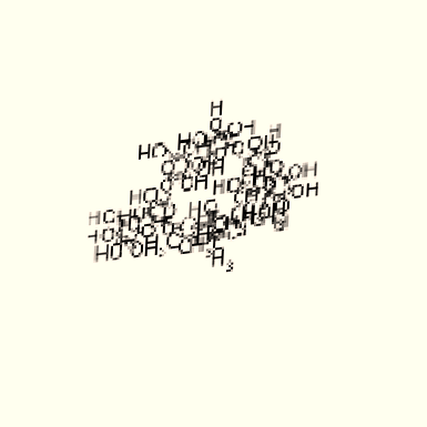 C[C@H](CC[C@@H](O[C@@H]1O[C@H](CO[C@@H]2O[C@H](CO)[C@@H](O)[C@H](O)[C@H]2O)[C@@H](O)[C@H](O)[C@H]1O[C@@H]1O[C@H](CO)[C@@H](O)[C@H](O)[C@H]1O)C(C)(C)O)[C@H]1CC[C@@]2(C)[C@H]3CC=C4[C@@H](CC[C@H](O[C@@H]5O[C@H](CO[C@@H]6O[C@H](CO)[C@@H](O)[C@H](O)[C@H]6O)[C@@H](O)[C@H](O)[C@H]5O[C@@H]5O[C@H](CO)[C@@H](O)[C@H](O)[C@H]5O)C4(C)C)[C@]3(C)[C@H](O)C[C@]12C